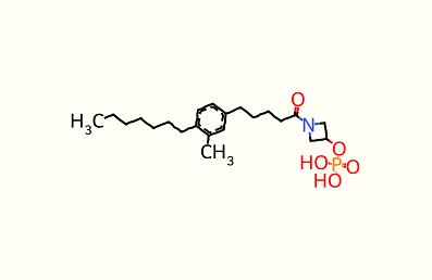 CCCCCCCc1ccc(CCCCC(=O)N2CC(OP(=O)(O)O)C2)cc1C